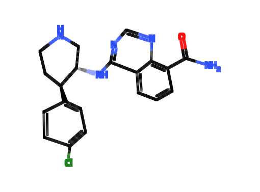 NC(=O)c1cccc2c(N[C@H]3CNCC[C@@H]3c3ccc(Cl)cc3)ncnc12